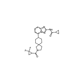 O=C(Nc1nc2cccc(C3CCC4(CC3)CCN(C(=O)C3CC3(F)F)C4)n2n1)C1CC1